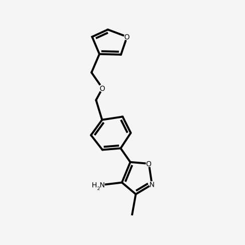 Cc1noc(-c2ccc(COCc3ccoc3)cc2)c1N